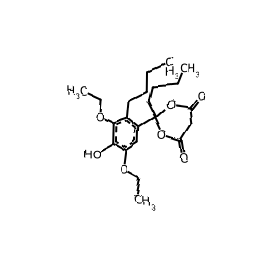 CCCCc1c(C2(CCCC)OC(=O)CC(=O)O2)cc(OCC)c(O)c1OCC